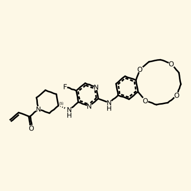 C=CC(=O)N1CCC[C@H](Nc2nc(Nc3ccc4c(c3)OCCOCCOCCO4)ncc2F)C1